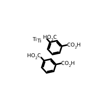 O=C(O)c1cccc(C(=O)O)c1.O=C(O)c1cccc(C(=O)O)c1.[Ti].[Ti]